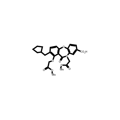 CC(C)(C)OC(=O)COc1c(CC2CCCC2)ccc2c1C(=O)N(CC(=O)OC(C)(C)C)c1cc(C(=O)O)ccc1O2